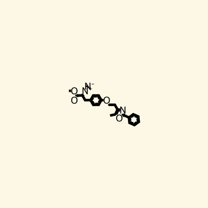 COC(=O)C(Cc1ccc(OCCc2nc(-c3ccccc3)oc2C)cc1)=[N+]=[N-]